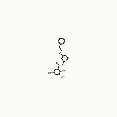 O=C(Nc1cccc(OCCc2ccccc2)c1)c1cc(Cl)cc([N+](=O)[O-])c1O